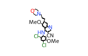 COc1cc(Nc2c(C#N)cnc3cc(/C=C/CN4CCOCC4)c(OC)cc23)c(Cl)cc1Cl